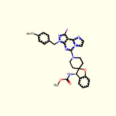 COc1ccc(Cn2nc(I)c3c2nc(N2CCC4(CC2)Oc2ccccc2[C@H]4NC(=O)OC(C)(C)C)n2ccnc32)cc1